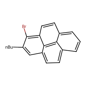 CCCCc1cc2ccc3cccc4ccc(c1Br)c2c34